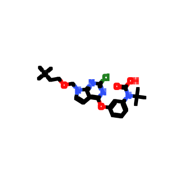 CC(C)(C)N(C(=O)O)c1cccc(Oc2nc(Cl)nc3c2ccn3COCC[Si](C)(C)C)c1